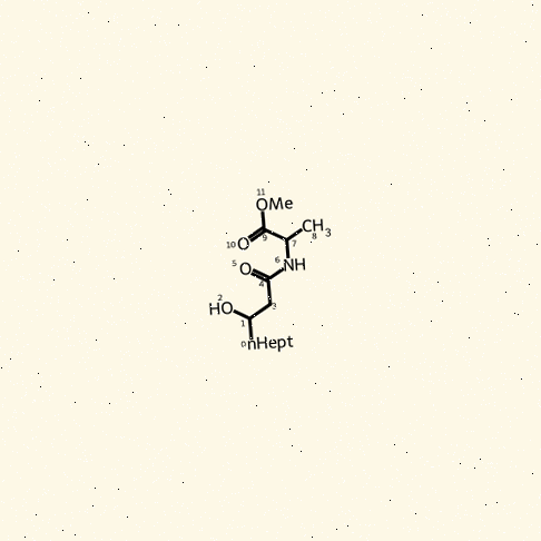 CCCCCCCC(O)CC(=O)NC(C)C(=O)OC